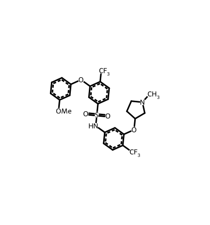 COc1cccc(Oc2cc(S(=O)(=O)Nc3ccc(C(F)(F)F)c(OC4CCN(C)C4)c3)ccc2C(F)(F)F)c1